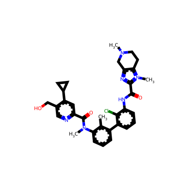 Cc1c(-c2cccc(NC(=O)c3nc4c(n3C)CCN(C)C4)c2Cl)cccc1N(C)C(=O)c1cc(C2CC2)c(CO)cn1